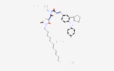 CCCCCCCCCCSc1ccc(N2c3ccc(/C=c4\s/c(=C5/SC(=S)N(CCCCCCCCCCCC(=O)O)C5=O)n(CC(=O)O)c4=O)cc3C3CCCC32)cc1